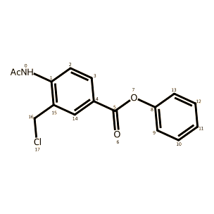 CC(=O)Nc1ccc(C(=O)Oc2ccccc2)cc1CCl